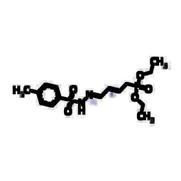 CCOP(=O)(C/C=C/C=N/NS(=O)(=O)c1ccc(C)cc1)OCC